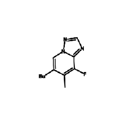 CCC(C)c1cn2ncnc2c(F)c1C